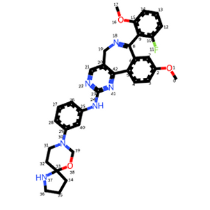 COc1ccc2c(c1)C(c1c(F)cccc1OC)=NCc1cnc(Nc3cccc(N4CCC5(CCCN5)OC4)c3)nc1-2